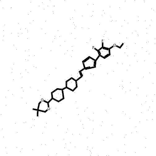 CCOc1ccc(-c2ccc(/C=C/C3CCC(C4CCC(C5OCC(C)(C)CO5)CC4)CC3)cc2)c(F)c1F